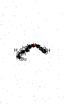 Cc1cc(-c2ccnc(Nc3ccc(N4CCN(CC5CCN(c6ccc(N7CCC(=O)NC7=O)cc6)CC5)CC4)cn3)n2)ccc1CNC(=O)c1nc(C(C)(C)C)no1